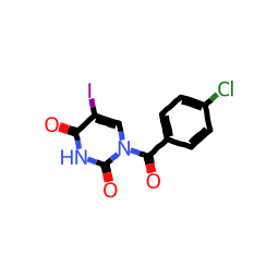 O=C(c1ccc(Cl)cc1)n1cc(I)c(=O)[nH]c1=O